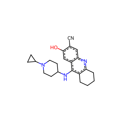 N#Cc1cc2nc3c(c(NC4CCN(C5CC5)CC4)c2cc1O)CCCC3